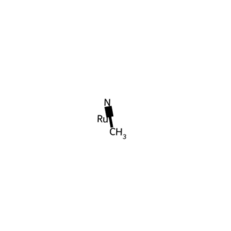 CC#N.[Ru]